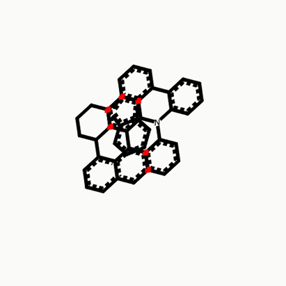 c1ccc(N(c2ccccc2-c2cccc3cccc(C4CCCCC4)c23)c2ccccc2-c2cccc3sc4ccccc4c23)cc1